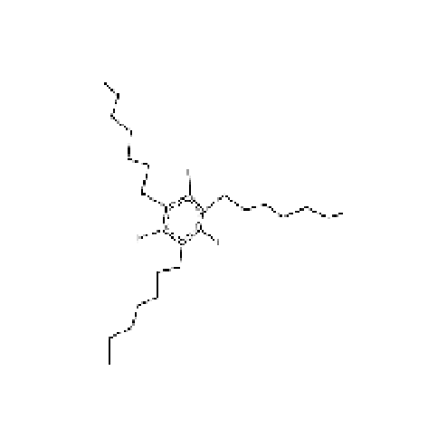 CCCCCCCc1c(I)c(CCCCCCC)c(I)c(CCCCCCC)c1I